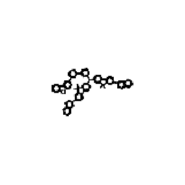 CC1(C)c2cc(-c3ccc4ccccc4c3)ccc2-c2ccc(C(c3cccc(-c4cccc(-c5ccc6oc7ccccc7c6c5)c4)c3)c3ccc4c(c3)C(C)(C)c3cc(-c5ccc6ccccc6c5)ccc3-4)cc21